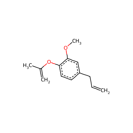 C=CCc1ccc(OC(=C)C)c(OC)c1